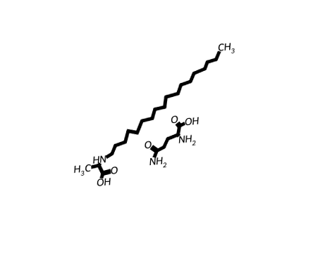 CCCCCCCCCCCCCCCCCCNC(C)C(=O)O.NC(=O)CCC(N)C(=O)O